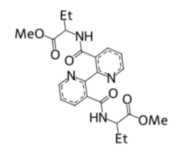 CCC(NC(=O)c1cccnc1-c1ncccc1C(=O)NC(CC)C(=O)OC)C(=O)OC